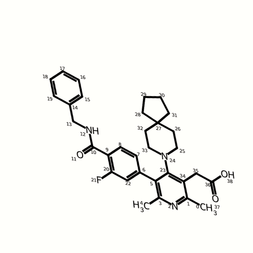 Cc1nc(C)c(-c2ccc(C(=O)NCc3ccccc3)c(F)c2)c(N2CCC3(CCCC3)CC2)c1CC(=O)O